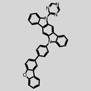 c1ccc2c(c1)oc1ccc(-c3ccc(-n4c5ccccc5c5cc6c(cc54)c4ccccc4n6-c4ncncn4)cc3)cc12